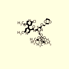 COc1cnc(Cl)cc1-c1cc(C)ncc1C(=O)/N=c1\sc(OC[C@H]2COCCO2)nn1COP(=O)(OC(C)(C)C)OC(C)(C)C